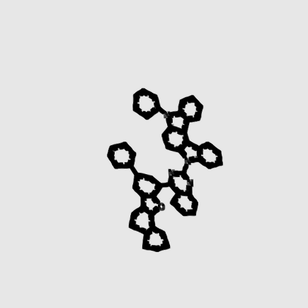 c1ccc(-c2cc(-c3nc(-n4c5ccccc5c5c6c7ccccc7n(-c7ccccc7)c6ccc54)nc4ccccc34)c3oc4c5ccccc5ccc4c3c2)cc1